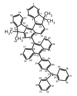 CC1(C)c2ccccc2-c2c1ccc1c(-c3c4ccccc4c(-c4ccc(N(c5ccccc5)c5ccccc5)cc4)c4ccccc34)cc3c(c21)-c1ccccc1C3(C)C